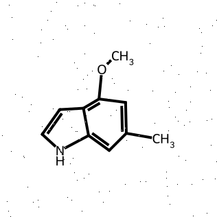 COc1cc(C)cc2[nH]ccc12